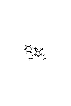 C=CCC1=NN(CC=C)C(=O)C1=Nc1ccccc1